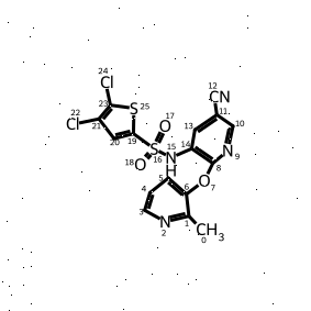 Cc1ncccc1Oc1ncc(C#N)cc1NS(=O)(=O)c1cc(Cl)c(Cl)s1